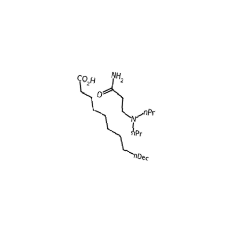 CCCCCCCCCCCCCCCCCC(=O)O.CCCN(CCC)CCC(N)=O